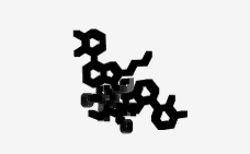 CCCCC1=Cc2c(-c3cccc(C)c3C)cccc2[CH]1[Zr]([Cl])([Cl])([B](NC=O)NC=O)[CH]1C(CCCC)=Cc2c(-c3cccc(C)c3C)cccc21